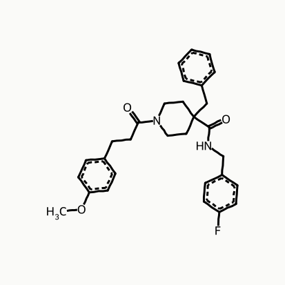 COc1ccc(CCC(=O)N2CCC(Cc3ccccc3)(C(=O)NCc3ccc(F)cc3)CC2)cc1